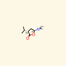 [C-]#[N+][C@@H]1C[C@@H](C(C)C)C(=O)O1